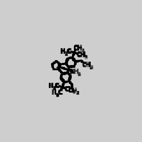 CCc1cc2c(cc1C(C)(C)C)C13CCCC1(CC(N)C3)c1cc(C(C)(C)C)c(CC)cc1-2